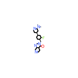 CN(C)c1cc(-c2ccc(Cn3cnc4cnccc4c3=O)c(F)c2)ccn1